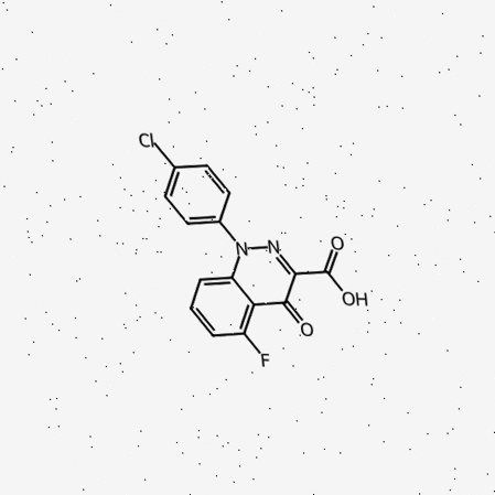 O=C(O)c1nn(-c2ccc(Cl)cc2)c2cccc(F)c2c1=O